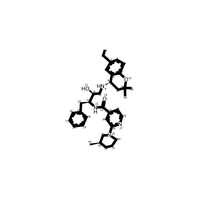 CCc1ccc2c(c1)[C@@H](NC[C@H](O)[C@H](Cc1ccccc1)NC(=O)c1ccnc(N3CCC[C@@H](C)C3)c1)CC(C)(C)O2